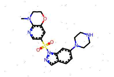 CN1CCOc2cc(S(=O)(=O)n3ncc4ccc(N5CCNCC5)cc43)cnc21